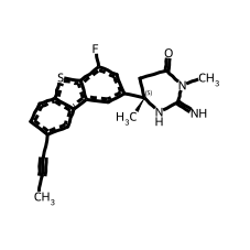 CC#Cc1ccc2sc3c(F)cc([C@]4(C)CC(=O)N(C)C(=N)N4)cc3c2c1